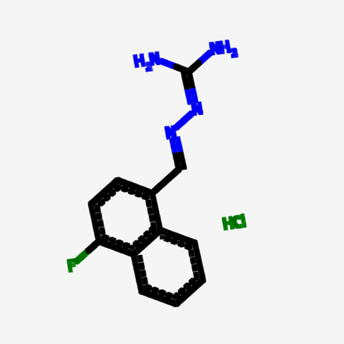 Cl.NC(N)=NN=Cc1ccc(F)c2ccccc12